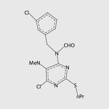 CCCSc1nc(Cl)c(NC)c(N(C=O)Cc2cccc(Cl)c2)n1